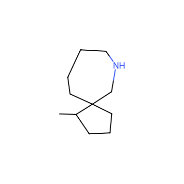 CC1CCCC12CCCCNC2